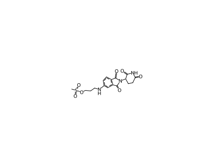 CS(=O)(=O)OCCCNc1ccc2c(c1)C(=O)N(C1CCC(=O)NC1=O)C2=O